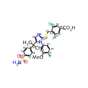 COc1cc(-n2c(C(C)(C)c3ccc(S(N)(=O)=O)cc3)cnc2SCc2c(F)cc(C(=O)O)cc2F)ccc1F